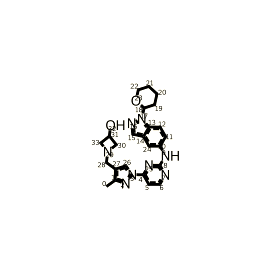 Cc1nn(-c2ccnc(Nc3ccc4c(cnn4C4CCCCO4)c3)n2)cc1CN1CC(O)C1